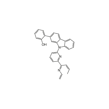 C=C/N=C(\C=C/C)c1cccc(-n2c3ccccc3c3ccc(-c4ccccc4O)cc32)n1